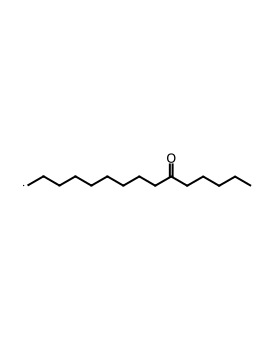 [CH2]CCCCCCCCC(=O)CCCCC